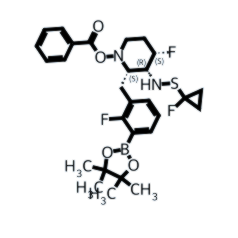 CC1(C)OB(c2cccc(C[C@H]3[C@@H](NSC4(F)CC4)[C@@H](F)CCN3OC(=O)c3ccccc3)c2F)OC1(C)C